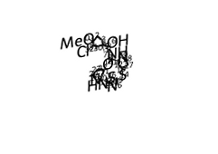 COc1ccc([C@H](O)CNC(=O)c2cc(Sc3cnc(Nc4ccccn4)s3)ccn2)cc1Cl